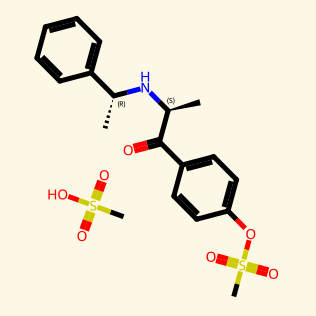 CS(=O)(=O)O.C[C@H](N[C@H](C)c1ccccc1)C(=O)c1ccc(OS(C)(=O)=O)cc1